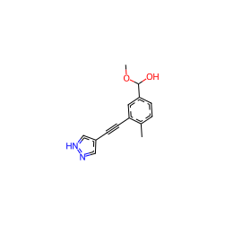 COC(O)c1ccc(C)c(C#Cc2cn[nH]c2)c1